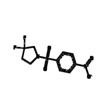 O=[N+]([O-])c1ccc(S(=O)(=O)N2CCC(F)(F)C2)cc1